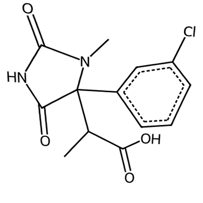 CC(C(=O)O)C1(c2cccc(Cl)c2)C(=O)NC(=O)N1C